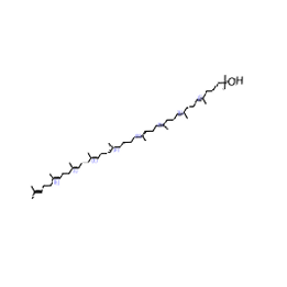 CC(C)=CCC/C(C)=C/CC/C(C)=C/CC/C(C)=C/CC/C(C)=C/CC/C=C(\C)CC/C=C(\C)CC/C=C(\C)CC/C=C(\C)CCCC(C)(C)O